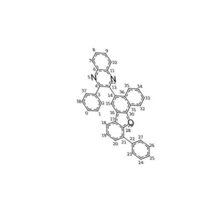 c1ccc(-c2nc3ccccc3nc2-c2cc3c4cccc(-c5ccccc5)c4oc3c3ccccc23)cc1